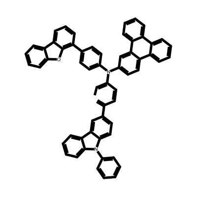 C=C(/C=C\C(=C/C)N(c1ccc(-c2cccc3c2oc2ccccc23)cc1)c1ccc2c3ccccc3c3ccccc3c2c1)c1ccc2c(c1)c1ccccc1n2-c1ccccc1